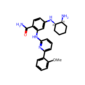 COc1ccccc1-c1cccc(Nc2cc(N[C@@H]3CCCC[C@@H]3N)ccc2C(N)=O)n1